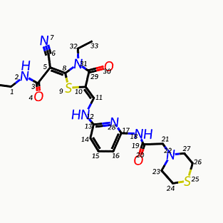 CCNC(=O)C(C#N)=c1sc(=CNc2cccc(NC(=O)CN3CCSCC3)n2)c(=O)n1CC